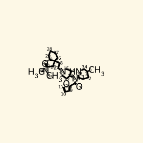 CC1CCC(N(C(=O)c2ccco2)C2CCN(CCC3(CC(=O)N(C)C)CCCCC3)CC2)NC1